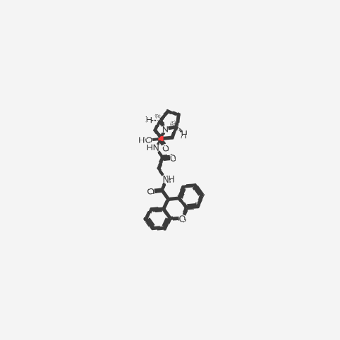 O=C(CNC(=O)C1c2ccccc2Oc2ccccc21)N[C@H]1C[C@H]2CC[C@@H](C1)N2C(=O)O